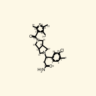 Cc1ccc(C(CC(N)=O)N2CC3CN(C(=O)c4c(C)sc(C)c4I)CC3C2)cc1Cl